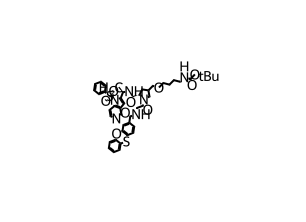 C[C@@H](NC(=O)[C@@H]1CC(COCCCCNC(=O)OC(C)(C)C)CN1C(=O)CNC(=O)c1ccc2c(c1)Oc1ccccc1S2)c1cc2cnccc2n1S(=O)(=O)c1ccccc1